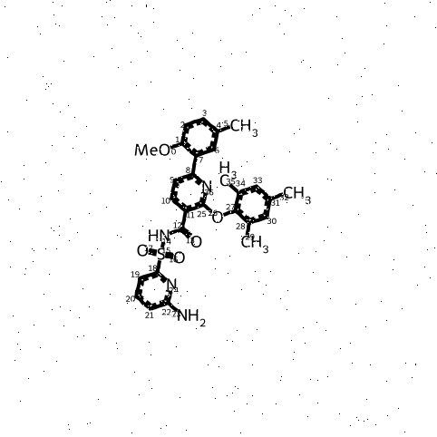 COc1ccc(C)cc1-c1ccc(C(=O)NS(=O)(=O)c2cccc(N)n2)c(Oc2c(C)cc(C)cc2C)n1